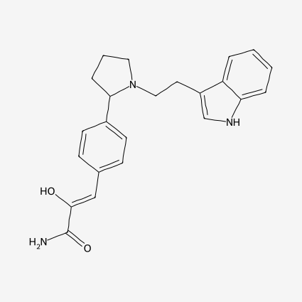 NC(=O)C(O)=Cc1ccc(C2CCCN2CCc2c[nH]c3ccccc23)cc1